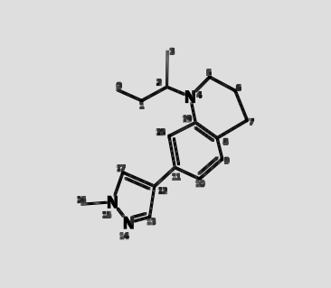 CCC(C)N1CCCc2ccc(-c3cnn(C)c3)cc21